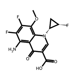 COc1c(F)c(F)c(N)c2c(=O)c(C(=O)O)cn([C@@H]3C[C@@H]3F)c12